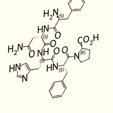 NC(=O)C[C@H](NC(=O)[C@@H](N)Cc1ccccc1)C(=O)N[C@@H](Cc1c[nH]cn1)C(=O)N[C@@H](Cc1ccccc1)C(=O)N1CCC[C@@H]1C(=O)O